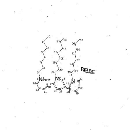 CCCCCCCC[n+]1ccccc1.CCCCCCCC[n+]1ccccc1.CCCCCCCC[n+]1ccccc1.[Br-].[Br-].[Br-]